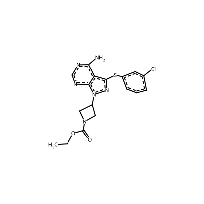 CCOC(=O)N1CC(n2nc(Sc3cccc(Cl)c3)c3c(N)ncnc32)C1